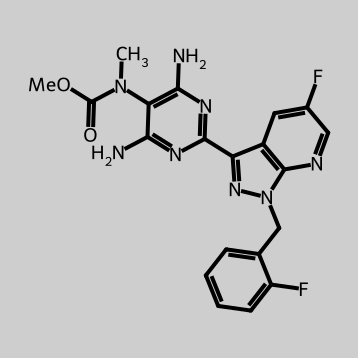 COC(=O)N(C)c1c(N)nc(-c2nn(Cc3ccccc3F)c3ncc(F)cc23)nc1N